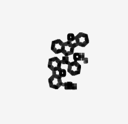 Cc1ccccc1N(c1cc2c3ccccc3oc2c2ccccc12)c1cccc2c1oc1c(C(C)(C)C)cccc12